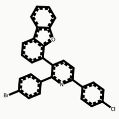 Clc1ccc(-c2ccc(-c3cccc4c3oc3ccccc34)c(-c3ccc(Br)cc3)n2)cc1